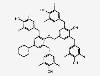 Oc1c(I)cc(Cc2cc(COc3c(Cc4cc(I)c(O)c(I)c4)cc(C4CCCCC4)cc3Cc3cc(I)c(O)c(I)c3)cc(Cc3cc(I)c(O)c(I)c3)c2O)cc1I